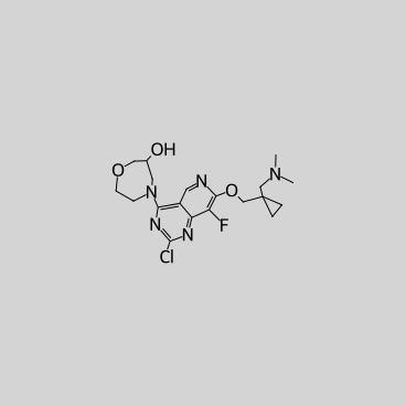 CN(C)CC1(COc2ncc3c(N4CCOCC(O)C4)nc(Cl)nc3c2F)CC1